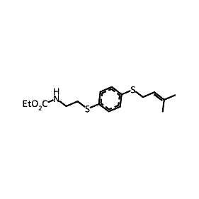 CCOC(=O)NCCSc1ccc(SCC=C(C)C)cc1